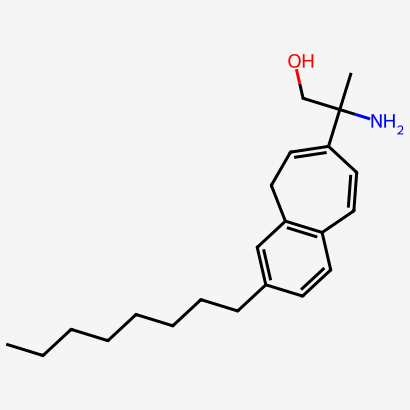 CCCCCCCCc1ccc2c(c1)CC=C(C(C)(N)CO)C=C2